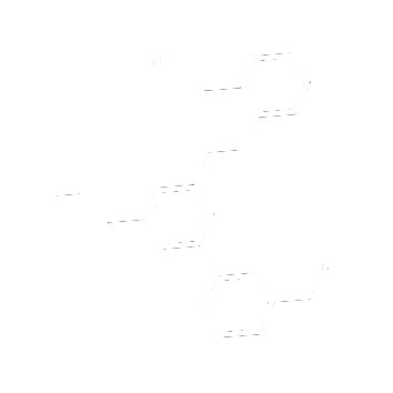 CCOCc1cc(COc2ccccc2CC(=O)O)cc(-c2cccc([C@@H](C)N)c2)c1